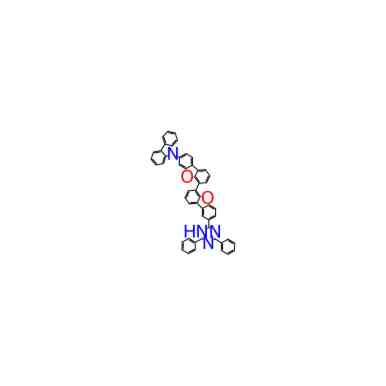 c1ccc(C2=NC(c3ccc4oc5c(-c6cccc7c6oc6cc(-n8c9ccccc9c9ccccc98)ccc67)cccc5c4c3)NC(c3ccccc3)=N2)cc1